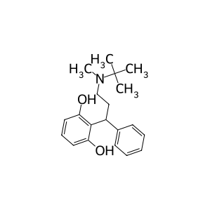 CN(CCC(c1ccccc1)c1c(O)cccc1O)C(C)(C)C